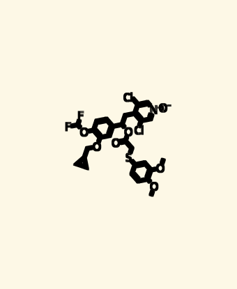 COc1ccc(SCC(=O)OC(Cc2c(Cl)c[n+]([O-])cc2Cl)c2ccc(OC(F)F)c(OCC3CC3)c2)cc1OC